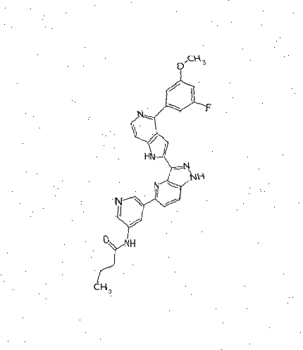 CCCC(=O)Nc1cncc(-c2ccc3[nH]nc(-c4cc5c(-c6cc(F)cc(OC)c6)nccc5[nH]4)c3n2)c1